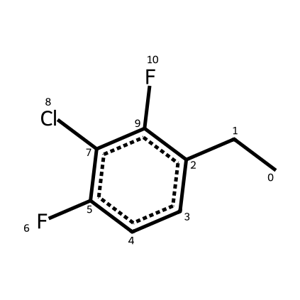 CCc1ccc(F)c(Cl)c1F